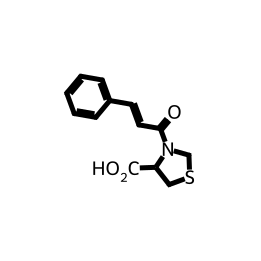 O=C(O)C1CSCN1C(=O)C=Cc1ccccc1